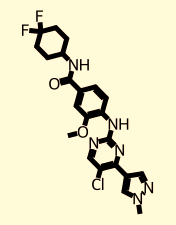 COc1cc(C(=O)NC2CCC(F)(F)CC2)ccc1Nc1ncc(Cl)c(-c2cnn(C)c2)n1